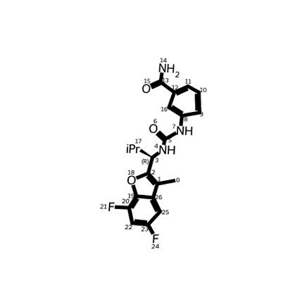 Cc1c([C@H](NC(=O)Nc2cccc(C(N)=O)c2)C(C)C)oc2c(F)cc(F)cc12